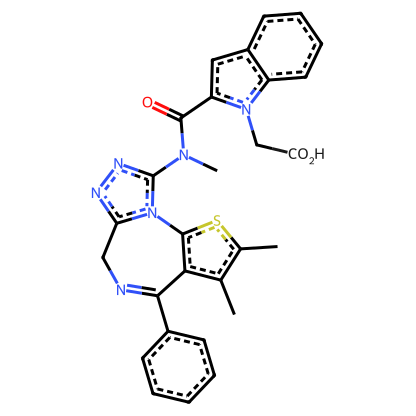 Cc1sc2c(c1C)C(c1ccccc1)=NCc1nnc(N(C)C(=O)c3cc4ccccc4n3CC(=O)O)n1-2